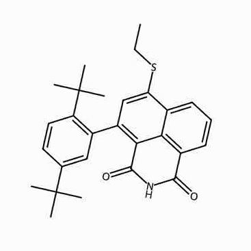 CCSc1cc(-c2cc(C(C)(C)C)ccc2C(C)(C)C)c2c3c(cccc13)C(=O)NC2=O